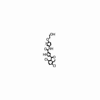 O=C(Nc1ccc(OCCO)nc1)c1cc(C(=O)c2c(Cl)ccc(Cl)c2F)c[nH]1